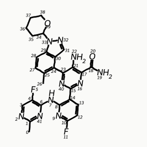 Cc1ncc(F)c(Nc2nc(F)ccc2-c2nc(C(N)=O)c(N)c(-c3c(C)ccc4c3cnn4C3CCCCO3)n2)n1